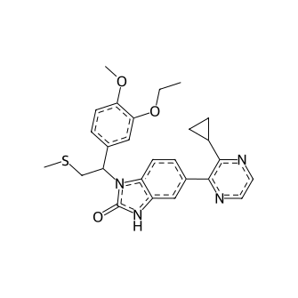 CCOc1cc(C(CSC)n2c(=O)[nH]c3cc(-c4nccnc4C4CC4)ccc32)ccc1OC